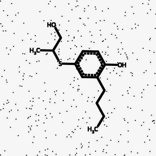 CCCCc1cc(SC(C)CO)ccc1O